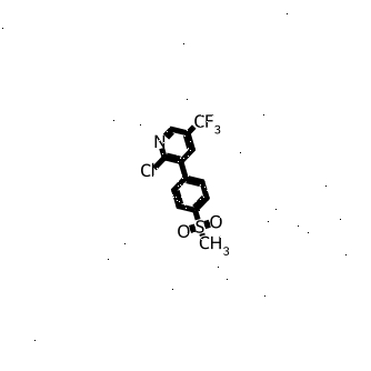 CS(=O)(=O)c1ccc(-c2cc(C(F)(F)F)cnc2Cl)cc1